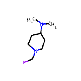 CN(C)C1CCN(CI)CC1